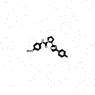 COc1ccc(NC(=O)N2CCC[C@H]2c2nc(-c3ccc(F)cc3)cs2)cc1